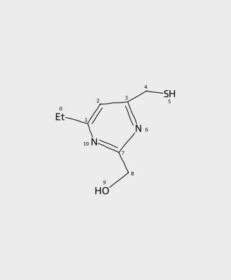 CCc1cc(CS)nc(CO)n1